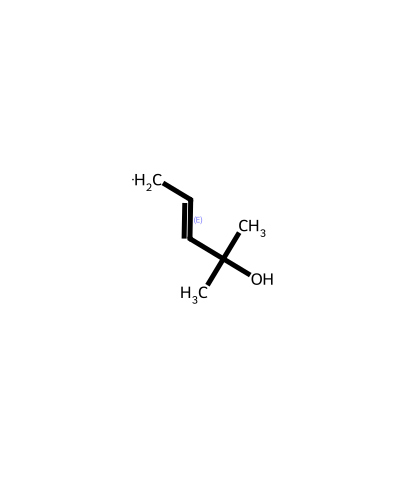 [CH2]/C=C/C(C)(C)O